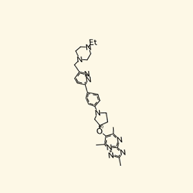 CCN1CCN(Cc2ccc(-c3ccc(N4CC[C@@H](Oc5c(C)nc6nc(C)nn6c5C)C4)cc3)nn2)CC1